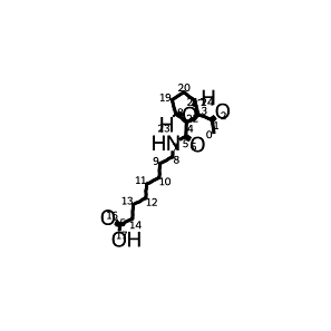 CC(=O)C1C(C(=O)NCCCCCCCC(=O)O)[C@H]2CC[C@@H]1O2